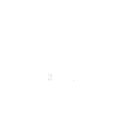 COc1ccc(C(O)CNCc2ccccc2Cl)cc1OC